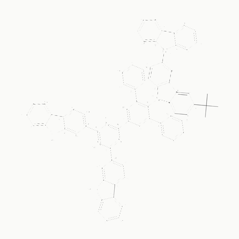 CC(C)(C)c1ccc2c(c1)c1cc(-n3c4ccccc4c4ccccc43)ccc1n2-c1c(-c2ccccc2)cc(-c2nc(-c3ccc4c(c3)oc3ccccc34)nc(-c3ccc4c(c3)oc3ccccc34)n2)cc1-c1ccccc1